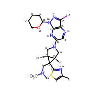 Cc1csc(C2(CN(C)C(=O)O)[C@@H]3CN(c4cnc5c(I)nn(C6CCCCO6)c5n4)C[C@@H]32)n1